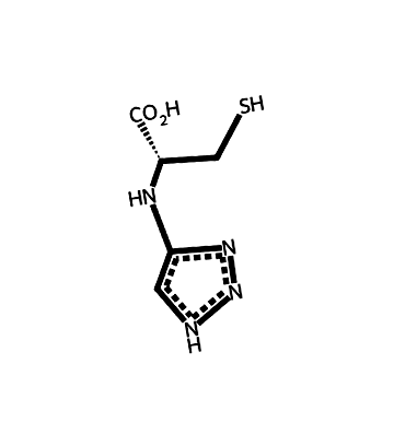 O=C(O)[C@H](CS)Nc1c[nH]nn1